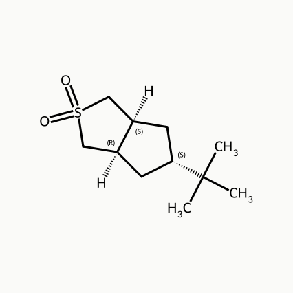 CC(C)(C)[C@H]1C[C@@H]2CS(=O)(=O)C[C@@H]2C1